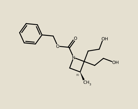 C[C@H]1CN(C(=O)OCc2ccccc2)C1(CCO)CCO